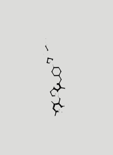 COCCOC1CN(C2CCC(Cc3sc4c(c3C)N(Cc3c(C)cc(C)nc3OC)CC4)CC2)C1